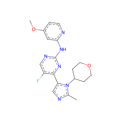 COc1ccnc(Nc2ncc(F)c(-c3cnc(C)n3C3CCOCC3)n2)c1